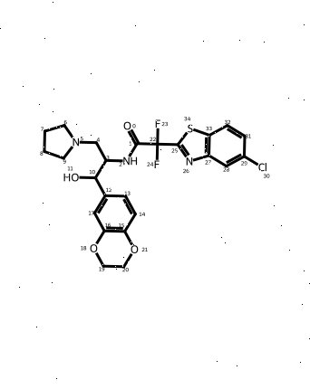 O=C(NC(CN1CCCC1)C(O)c1ccc2c(c1)OCCO2)C(F)(F)c1nc2cc(Cl)ccc2s1